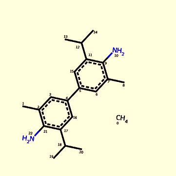 C.Cc1cc(-c2cc(C)c(N)c(C(C)C)c2)cc(C(C)C)c1N